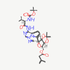 CC(C)CC(=O)OC[C@H]1O[C@@](C#N)(c2ccc3c(NC(=O)[C@@H](NC(=O)OC(C)(C)C)C(C)C)ncnn23)[C@@H]2OC(C)(C)O[C@@H]21